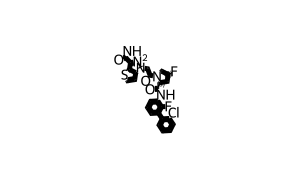 NC(=O)C1=NN(CC(=O)N2C[C@H](F)C[C@H]2C(=O)Nc2cccc(-c3ccccc3Cl)c2F)C2C=CSC12